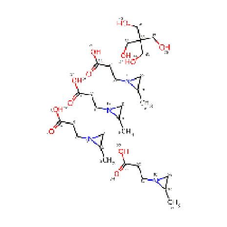 CC1CN1CCC(=O)O.CC1CN1CCC(=O)O.CC1CN1CCC(=O)O.CC1CN1CCC(=O)O.OCC(CO)(CO)CO